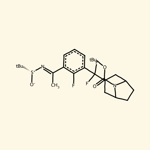 C/C(=N\[S@+]([O-])C(C)(C)C)c1cccc(C(F)(F)C2CC3CCC(C2)N3C(=O)OC(C)(C)C)c1F